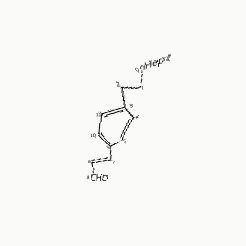 CCCCCCCCCc1ccc(C=CC=O)cc1